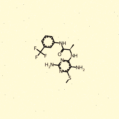 CSc1nc(N)nc(N[C@H](C)C(=O)Nc2cccc(C(F)(F)F)c2)c1N